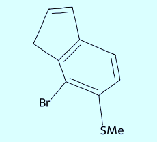 CSc1ccc2c(c1Br)CC=C2